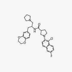 O=C(NC(Cc1ccc2c(c1)OCCO2)CN1CCCC1)C1CCN(c2ccc3cc(F)ccc3c2Cl)C1